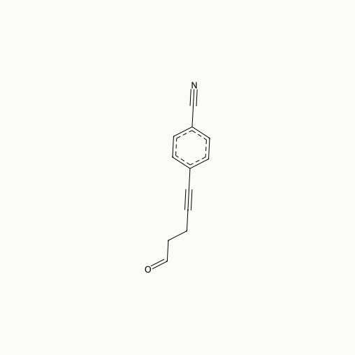 N#Cc1ccc(C#CCCC=O)cc1